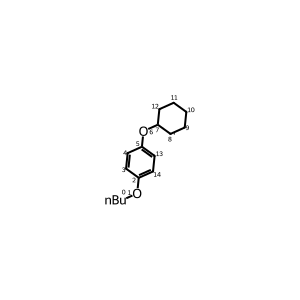 CCCCOc1ccc(OC2[CH]CCCC2)cc1